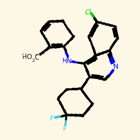 O=C(O)C1=C(Nc2c(C3CCC(F)(F)CC3)cnc3ccc(Cl)cc23)CCC=C1